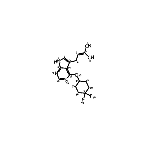 N#CC(C#N)=CCc1c[nH]c2ncnc(OC3CCC(F)(F)CC3)c12